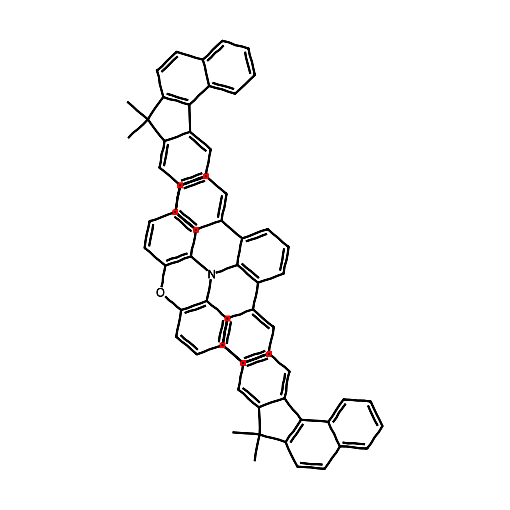 CC1(C)c2cc(-c3ccc4c(c3)N(c3c(-c5ccccc5)cccc3-c3ccccc3)c3cc(-c5ccc6c(c5)C(C)(C)c5ccc7ccccc7c5-6)ccc3O4)ccc2-c2c1ccc1ccccc21